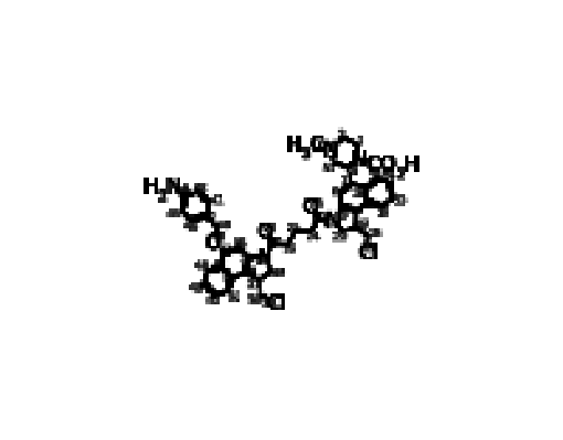 CN1CCN(C(=O)O)[C@@H](c2cc3c(c4ccccc24)C(CCl)CN3C(=O)CCCC(=O)N2C[C@@H](CCl)c3c2cc(OCc2ccc(N)cc2)c2ccccc32)C1